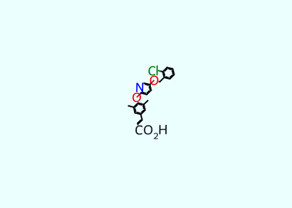 Cc1cc(C=CC(=O)O)cc(C)c1Oc1ccc(OCc2ccccc2Cl)cn1